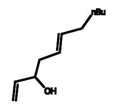 C=CC(O)CC=CCCCCC